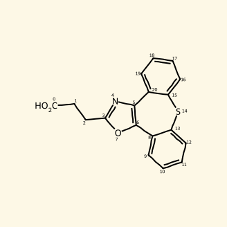 O=C(O)CCc1nc2c(o1)-c1ccccc1Sc1ccccc1-2